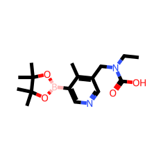 CCN(Cc1cncc(B2OC(C)(C)C(C)(C)O2)c1C)C(=O)O